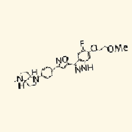 COCCOc1cc2[nH]nc(-c3cc(-c4ccc(N5CC[C@H]6[C@H]5CCN6C)cc4)no3)c2cc1F